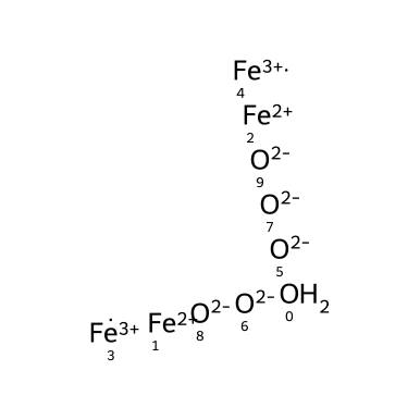 O.[Fe+2].[Fe+2].[Fe+3].[Fe+3].[O-2].[O-2].[O-2].[O-2].[O-2]